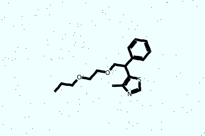 CCCOCCOCC(c1ccccc1)c1scnc1C